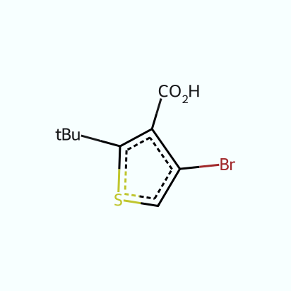 CC(C)(C)c1scc(Br)c1C(=O)O